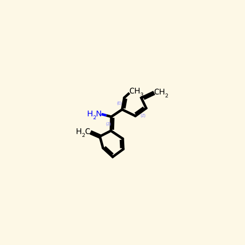 C=C\C=C/C(=C\C)C(/N)=c1\ccccc1=C